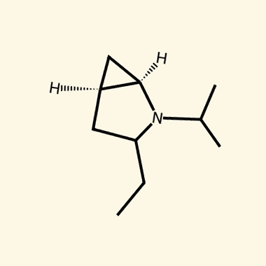 CCC1C[C@H]2C[C@H]2N1C(C)C